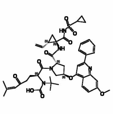 C=C[C@@H]1C[C@]1(NC(=O)[C@@H]1C[C@@H](Oc2cc(-c3ccccc3)nc3cc(OC)ccc23)CN1C(=O)[C@H](CCC(=O)C=C(C)C)N(C(=O)O)C(C)(C)C)C(=O)NS(=O)(=O)C1CC1